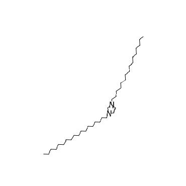 CCCCCCCCCCCCCCCCCCN1C=CN(CCCCCCCCCCCCCCCC)C1